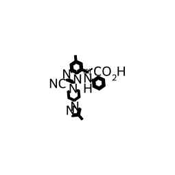 Cc1cc([C@@H](C)Nc2ccccc2C(=O)O)c2nc(N3CCC(n4cc(C)cn4)CC3)c(C#N)nc2c1